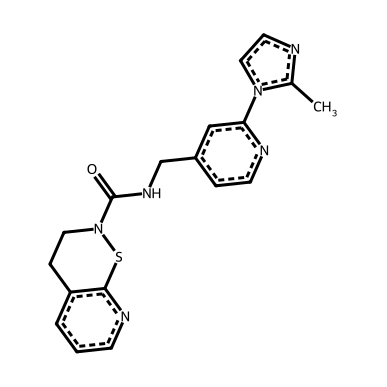 Cc1nccn1-c1cc(CNC(=O)N2CCc3cccnc3S2)ccn1